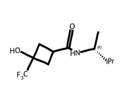 CC(C)[C@@H](C)NC(=O)C1CC(O)(C(F)(F)F)C1